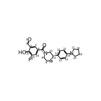 O=Cc1cc(C(=O)N2CCS[C@H](c3ccc(N4CCCC4)cc3)C2)cc(F)c1O